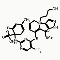 CNC(=O)C1=C(Nc2nc(NC3(P(=O)([O-])O)CC=C(C)C=C3F)ncc2C(F)(F)F)C=CC[N+]1(CCCO)c1cn[nH]c1